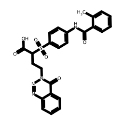 Cc1ccccc1C(=O)Nc1ccc(S(=O)(=O)C(CCn2nnc3ccccc3c2=O)C(=O)O)cc1